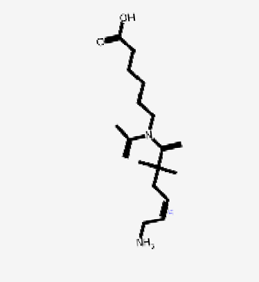 C=C(C)N(CCCCCC(=O)O)C(=C)C(C)(C)C/C=C\CN